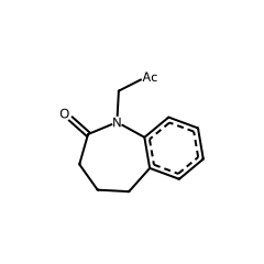 CC(=O)CN1C(=O)CCCc2ccccc21